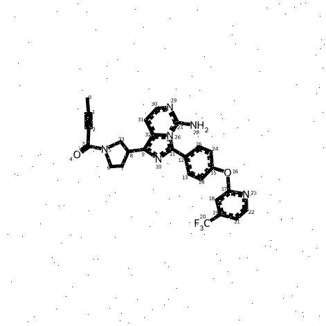 CC#CC(=O)N1CCC(c2nc(-c3ccc(Oc4cc(C(F)(F)F)ccn4)cc3)n3c(N)nccc23)C1